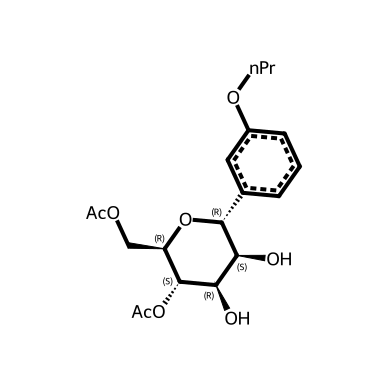 CCCOc1cccc([C@H]2O[C@H](COC(C)=O)[C@@H](OC(C)=O)[C@H](O)[C@@H]2O)c1